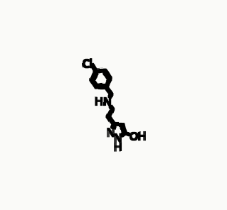 Oc1cc(CCNCc2ccc(Cl)cc2)n[nH]1